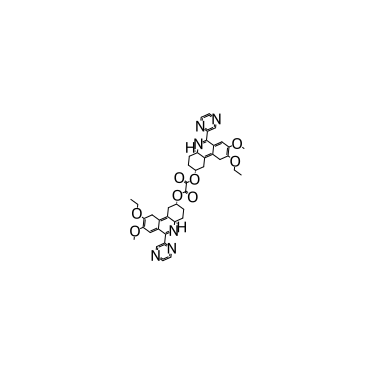 CCOC1=C(OC)C=C2C(c3cnccn3)=N[C@@H]3CC[C@@H](OC(=O)C(=O)O[C@@H]4CC[C@H]5N=C(c6cnccn6)C6=CC(OC)=C(OCC)CC6=C5C4)CC3=C2C1